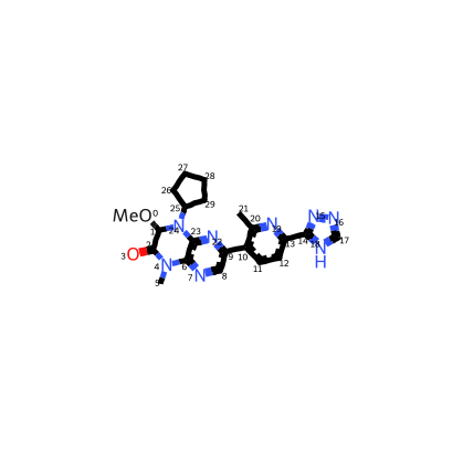 COC1C(=O)N(C)c2ncc(-c3ccc(-c4nnc[nH]4)nc3C)nc2N1C1CCCC1